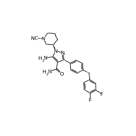 N#CN1CCC[C@@H](n2nc(-c3ccc(Cc4ccc(F)c(F)c4)cc3)c(C(N)=O)c2N)C1